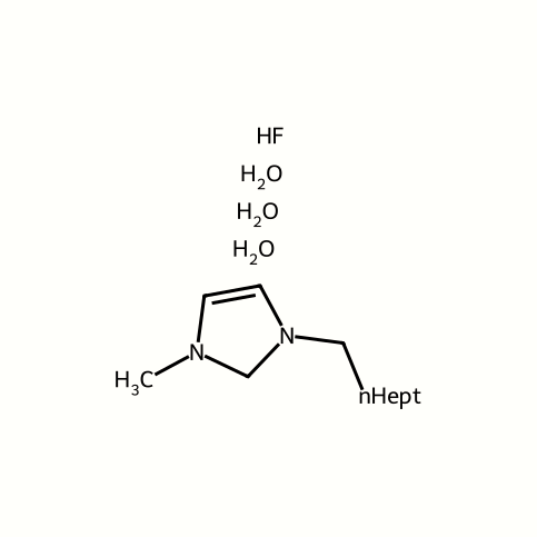 CCCCCCCCN1C=CN(C)C1.F.O.O.O